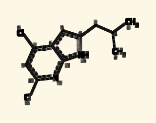 CC(C)Cc1cc2c(Cl)cc(Cl)nc2[nH]1